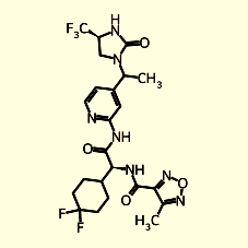 Cc1nonc1C(=O)N[C@H](C(=O)Nc1cc(C(C)N2C[C@@H](C(F)(F)F)NC2=O)ccn1)C1CCC(F)(F)CC1